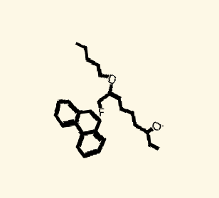 CCCCCOC(CF)CCCCC([O])CC.c1ccc2c(c1)ccc1ccccc12